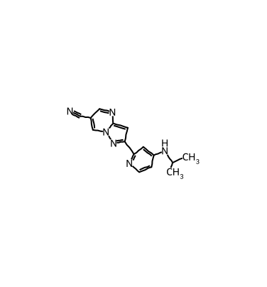 CC(C)Nc1ccnc(-c2cc3ncc(C#N)cn3n2)c1